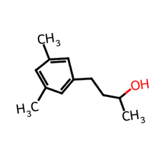 Cc1cc(C)cc(CCC(C)O)c1